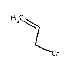 C=C[CH2][Cr]